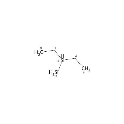 [CH2]C[SiH]([SiH3])CC